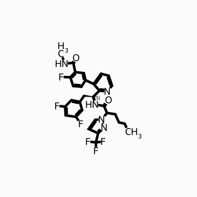 CCCCC(C(=O)N[C@@H](Cc1cc(F)cc(F)c1)c1ncccc1-c1ccc(F)c(C(=O)NC)c1)n1ccc(C(F)(F)F)n1